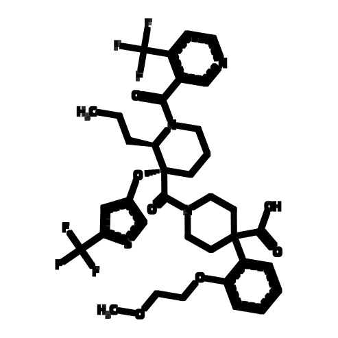 CCC[C@H]1N(C(=O)c2cnccc2C(F)(F)F)CCC[C@@]1(Oc1csc(C(F)(F)F)c1)C(=O)N1CCC(C(=O)O)(c2ccccc2OCCOC)CC1